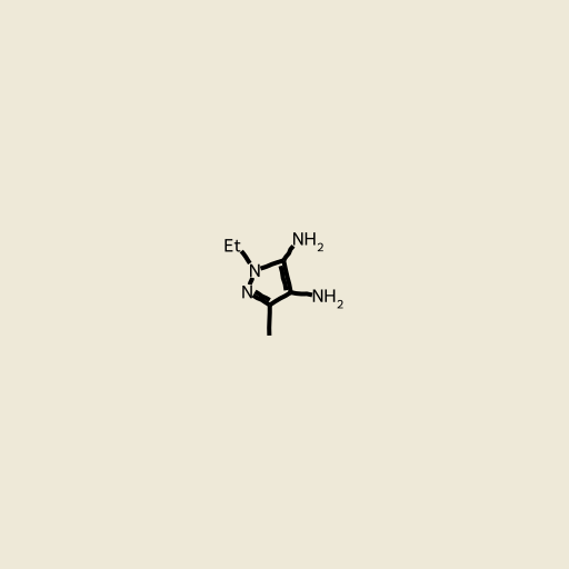 CCn1nc(C)c(N)c1N